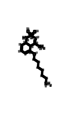 NCCCCCCOC1=CC=CC2NS(=O)(=O)N=C(N)C12